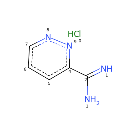 Cl.N=C(N)c1cccnn1